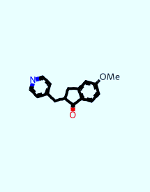 COc1ccc2c(c1)CC(Cc1ccncc1)C2=O